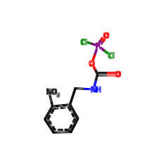 O=C(NCc1ccccc1[N+](=O)[O-])OP(=O)(Cl)Cl